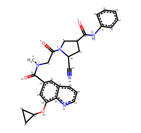 CN(CC(=O)N1CC(C(=O)Nc2ccccc2)CC1C#N)C(=O)c1cc(OC2CC2)c2ncccc2c1